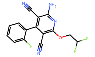 N#Cc1c(N)nc(OCC(F)F)c(C#N)c1-c1ccccc1F